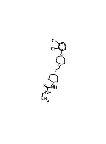 CCNC(=S)N[C@H]1CC[C@H](CCN2CCN(c3cccc(Cl)c3Cl)CC2)CC1